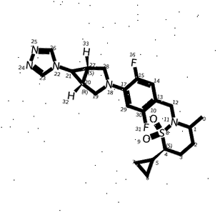 CC1CC[C@@H](C2CC2)S(=O)(=O)N1Cc1cc(F)c(N2C[C@@H]3C(n4cnnc4)[C@@H]3C2)cc1F